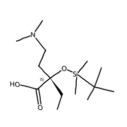 CC[C@@](CCN(C)C)(O[Si](C)(C)C(C)(C)C)C(=O)O